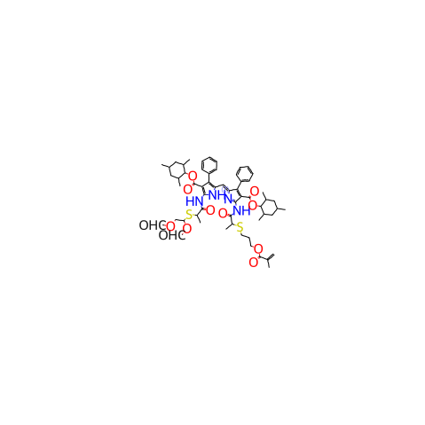 C=C(C)C(=O)OCCCSC(C)C(=O)NC1=N/C(=C\c2[nH]c(NC(=O)C(C)SC(COC=O)OC=O)c(C(=O)OC3C(C)CC(C)CC3C)c2-c2ccccc2)C(c2ccccc2)=C1C(=O)OC1C(C)CC(C)CC1C